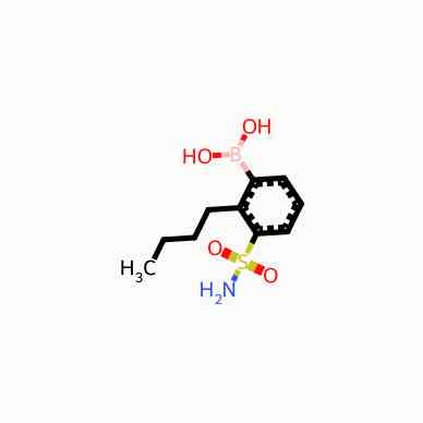 CCCCc1c(B(O)O)cccc1S(N)(=O)=O